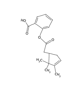 CC1=CCC(CC(=O)Oc2ccccc2C(=O)O)C1(C)C